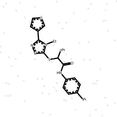 CCCC(Sc1nnc(-c2ccsc2)n1CC)C(=O)Nc1ccc(C(C)C)cc1